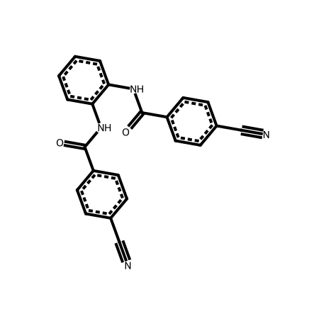 N#Cc1ccc(C(=O)Nc2ccccc2NC(=O)c2ccc(C#N)cc2)cc1